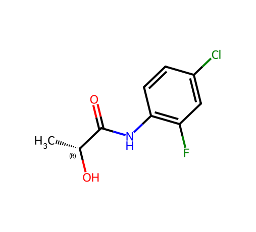 C[C@@H](O)C(=O)Nc1ccc(Cl)cc1F